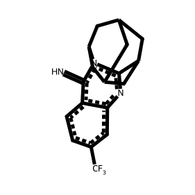 N=c1c2ccc(C(F)(F)F)cc2nc2n1C1CC3CC(CC2C3)C1